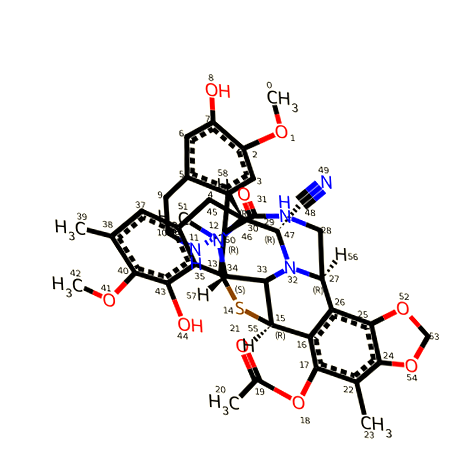 COc1cc2c(cc1O)CCN[C@]21CS[C@@H]2c3c(OC(C)=O)c(C)c4c(c3[C@H](CNC1=O)N1C2[C@@H]2c3c(cc(C)c(OC)c3O)C[C@H]([C@@H]1C#N)N2C)OCO4